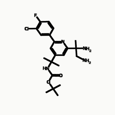 CC(C)(C)OC(=O)NC(C)(C)c1cc(-c2ccc(F)c(Cl)c2)nc(C(C)(N)CN)c1